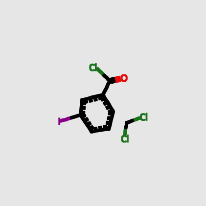 ClCCl.O=C(Cl)c1cccc(I)c1